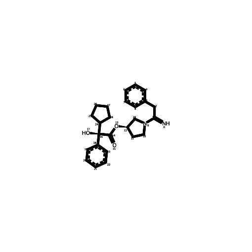 N=C(Cc1ccccc1)N1CC[C@@H](OC(=O)[C@](O)(c2ccccc2)C2CCCC2)C1